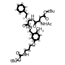 CC(=O)N[C@@H](CC(=O)OC(C)(C)C)C(=O)N[C@@H](CCc1ccccc1)C(=O)NCc1cc(OCCCNC(=O)OC(C)(C)C)ccc1C